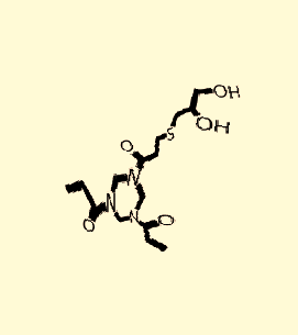 C=CC(=O)N1CN(C(=O)C=C)CN(C(=O)CCSCC(O)CO)C1